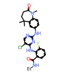 CCNC(=O)c1cccc(F)c1Nc1nc(Nc2ccc3c(c2)C(C)(C)CCC(=O)N3C)ncc1Cl